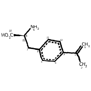 C=C(C)c1ccc(C[C@H](N)C(=O)O)cc1